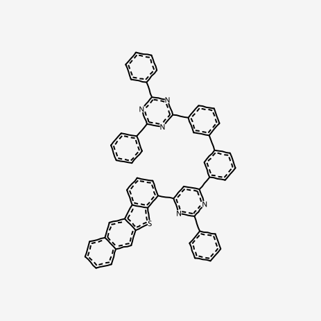 c1ccc(-c2nc(-c3cccc(-c4cccc(-c5nc(-c6ccccc6)nc(-c6ccccc6)n5)c4)c3)cc(-c3cccc4c3sc3cc5ccccc5cc34)n2)cc1